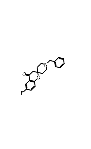 O=C1CC2(CCN(Cc3ccccc3)CC2)Oc2ccc(F)cc21